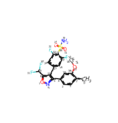 Cc1ccc(-c2noc(C(F)F)c2-c2cc(F)c(S(N)(=O)=O)c(F)c2)cc1OC(F)(F)F